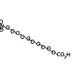 O=C(O)CCOCCOCCOCCOCCOCCOCCOCCOCCOCCOCCN1C(=O)C=CC1=O